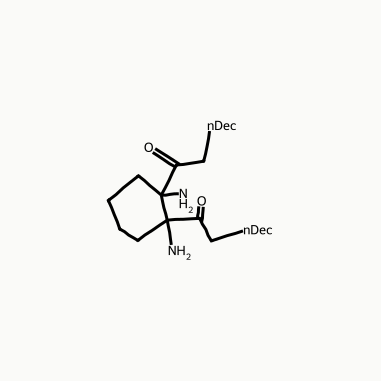 CCCCCCCCCCCC(=O)C1(N)CCCCC1(N)C(=O)CCCCCCCCCCC